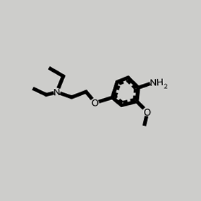 CCN(CC)CCOc1ccc(N)c(OC)c1